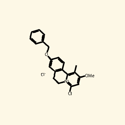 COc1cc(Cl)[n+]2c(c1C)-c1ccc(OCc3ccccc3)cc1CC2.[Cl-]